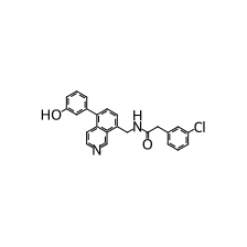 O=C(Cc1cccc(Cl)c1)NCc1ccc(-c2cccc(O)c2)c2ccncc12